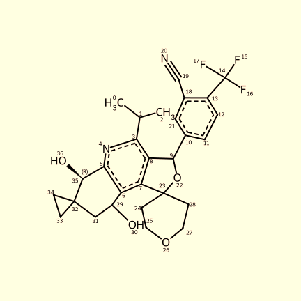 CC(C)c1nc2c(c3c1C(c1ccc(C(F)(F)F)c(C#N)c1)OC31CCOCC1)C(O)CC1(CC1)[C@H]2O